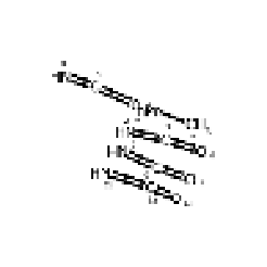 CCCC.N=C=O.N=C=O.N=C=O.N=C=O